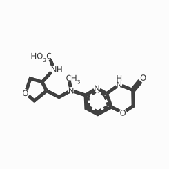 CN(CC1COCC1NC(=O)O)c1ccc2c(n1)NC(=O)CO2